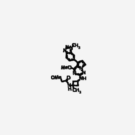 COCC(=O)NC1(C)CC(Nc2nc(OC)c3c(-c4ccc5nnn(C)c5c4)ccn3n2)C1